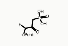 CCCCCC(F)C(=O)CP(=O)(O)O